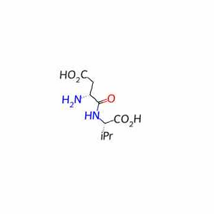 CC(C)[C@H](NC(=O)[C@H](N)CC(=O)O)C(=O)O